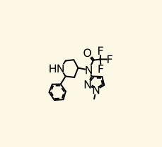 Cn1ccc(N(C(=O)C(F)(F)F)C2CCNC(c3ccccc3)C2)n1